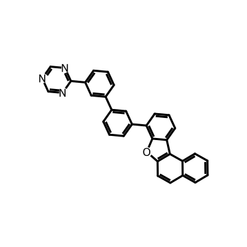 c1cc(-c2cccc(-c3cccc4c3oc3ccc5ccccc5c34)c2)cc(-c2ncncn2)c1